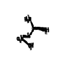 CSC(=N)N.O=[N+]([O-])O